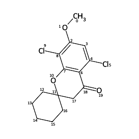 COc1cc(Cl)c2c(c1Cl)OC1(CCCCC1)CC2=O